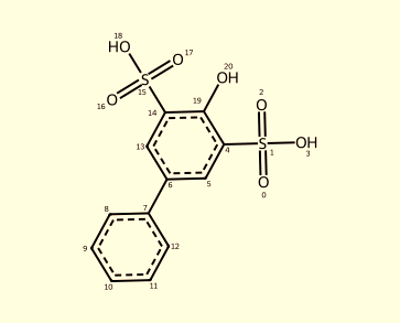 O=S(=O)(O)c1cc(-c2ccccc2)cc(S(=O)(=O)O)c1O